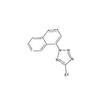 CCc1nnn(-c2cccc3ccccc23)n1